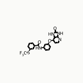 O=C(Nc1cccc(Oc2ccnc3[nH]c(=O)[nH]c23)c1)c1cccc(SC(F)(F)F)c1